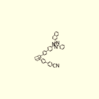 N#Cc1ccc(-c2ccc(C34CC5CC(C3)CC(c3ccc(-c6ccc(-c7nc(-c8ccccc8)nc(-c8ccc9ccccc9c8)n7)cc6)cc3)(C5)C4)cc2)cc1